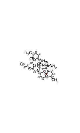 Cc1ccc(NC(=O)N[C@@]2(C(C(N)=O)c3ccc(C)cc3)C(=O)N(CC(OCCCl)OCCCl)c3ccccc32)cc1